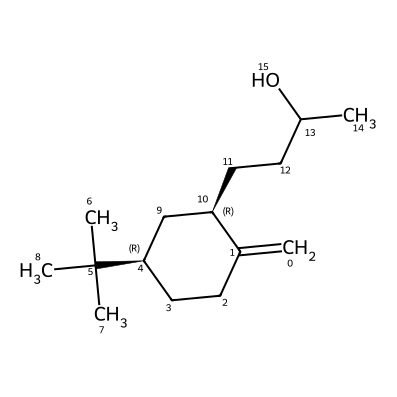 C=C1CC[C@@H](C(C)(C)C)C[C@H]1CCC(C)O